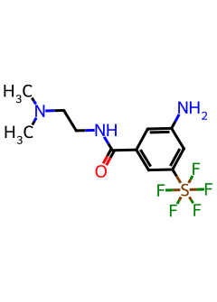 CN(C)CCNC(=O)c1cc(N)cc(S(F)(F)(F)(F)F)c1